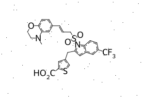 CN1CCOc2ccc(C=CCS(=O)(=O)n3c(Cc4csc(C(=O)O)c4)cc4cc(C(F)(F)F)ccc43)cc21